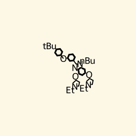 CCCCn1c(-c2cccc(Oc3ccc(C(C)(C)C)cc3)c2)nc2c(OC3CCN(CC)C3)cc(OC3CCN(CC)C3)cc21